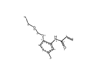 C=CC(=O)Nc1cc(C)ccc1OCOCC